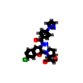 O=C(NC(Cc1ccc(Cl)cc1)C(=O)N1CCC2OCC(=O)C21)c1ccc(-n2cccn2)cc1